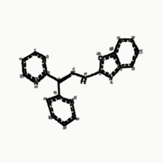 c1ccc(C(=NNc2nc3ccccc3o2)c2ccccn2)nc1